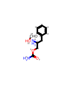 NC(=O)OCC(N)Cc1ccccc1.O=CO